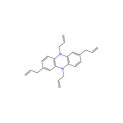 C=CCc1ccc2c(c1)N(CC=C)c1ccc(CC=C)cc1N2CC=C